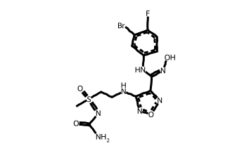 CS(=O)(CCNc1nonc1/C(=N/O)Nc1ccc(F)c(Br)c1)=NC(N)=O